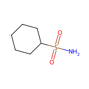 NS(=O)(=O)C1CC[CH]CC1